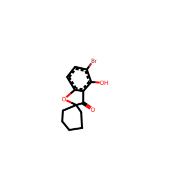 O=C1c2c(ccc(Br)c2O)OC12CCCCC2